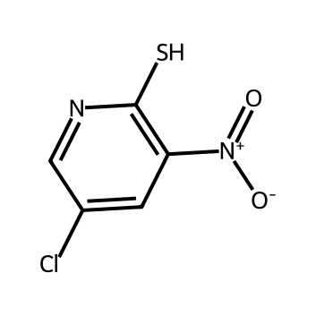 O=[N+]([O-])c1cc(Cl)cnc1S